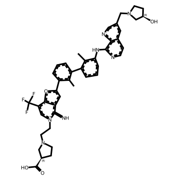 Cc1c(Nc2nccc3cc(CN4CC[C@@H](O)C4)cnc23)cccc1-c1cccc(-c2cc3c(=N)n(CCN4CC[C@@H](C(=O)O)C4)cc(C(F)(F)F)c3o2)c1C